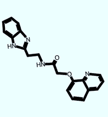 O=C(COc1cccc2cccnc12)NCCc1nc2ccccc2[nH]1